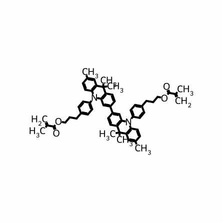 C=C(C)C(=O)OCCCc1ccc(N2c3cc(-c4ccc5c(c4)N(c4ccc(CCCOC(=O)C(=C)C)cc4)c4ccc(C)cc4C5(C)C)ccc3C(C)(C)c3cc(C)ccc32)cc1